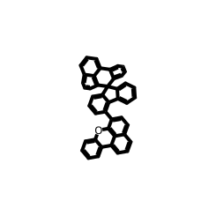 c1ccc2c(c1)Oc1c(-c3cccc4c3-c3ccccc3C43c4ccccc4-c4cccc5cccc3c45)ccc3cccc-2c13